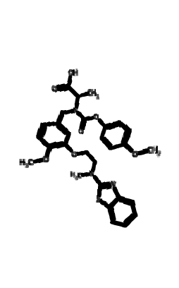 COc1ccc(OC(=O)N(Cc2ccc(OC)c(OCCN(C)c3nc4ccccc4s3)c2)[C@H](C)C(=O)O)cc1